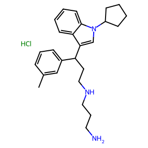 Cc1cccc(C(CCNCCCN)c2cn(C3CCCC3)c3ccccc23)c1.Cl